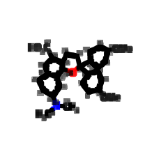 COc1ccc(C2(c3ccc(OC)cc3)C=Cc3c(C(=O)O)cc4ccc(N(C)C)cc4c3O2)cc1